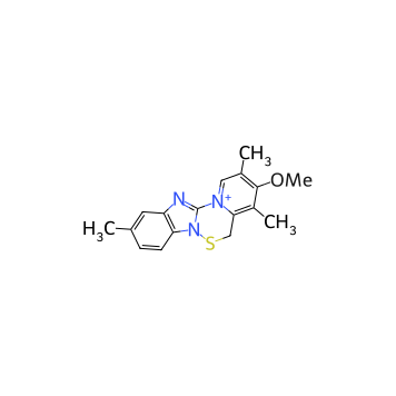 COc1c(C)c[n+]2c(c1C)CSn1c-2nc2cc(C)ccc21